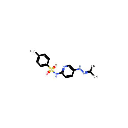 Cc1ccc(S(=O)(=O)Nc2ccc(NN=C(C#N)C#N)cn2)cc1